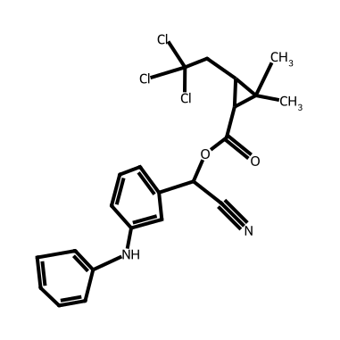 CC1(C)C(CC(Cl)(Cl)Cl)C1C(=O)OC(C#N)c1cccc(Nc2ccccc2)c1